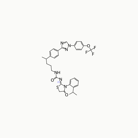 CC(C)c1ccccc1N1C(=O)CS/C1=N\C(=O)NCCCC(C)c1ccc(-c2ncn(-c3ccc(OC(F)(F)F)cc3)n2)cc1